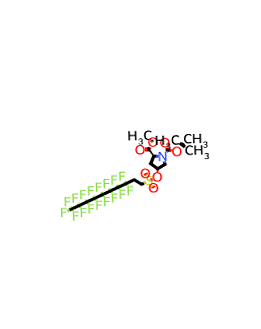 COC(=O)[C@@H]1C[C@H](OS(=O)(=O)CCC(F)(F)C(F)(F)C(F)(F)C(F)(F)C(F)(F)C(F)(F)C(F)(F)C(F)(F)F)CN1C(=O)OC(C)(C)C